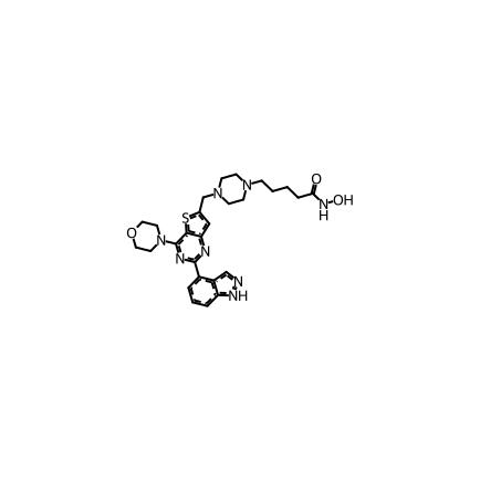 O=C(CCCCN1CCN(Cc2cc3nc(-c4cccc5[nH]ncc45)nc(N4CCOCC4)c3s2)CC1)NO